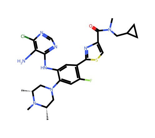 C[C@@H]1CN(c2cc(F)c(-c3nc(C(=O)N(C)CC4CC4)cs3)cc2Nc2ncnc(Cl)c2N)C[C@H](C)N1C